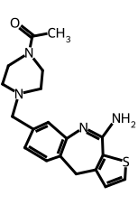 CC(=O)N1CCN(Cc2ccc3c(c2)N=C(N)c2sccc2C3)CC1